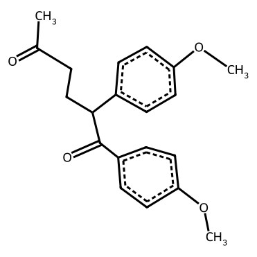 COc1ccc(C(=O)C(CCC(C)=O)c2ccc(OC)cc2)cc1